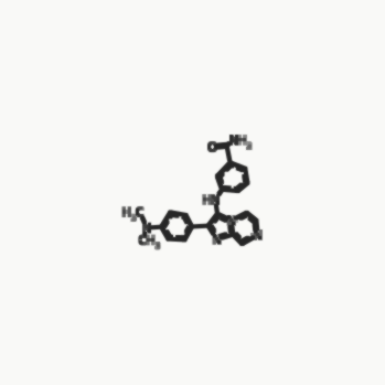 CN(C)c1ccc(-c2nc3cnccn3c2Nc2cccc(C(N)=O)c2)cc1